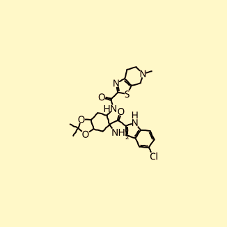 CN1CCc2nc(C(=O)NC3CC4OC(C)(C)OC4CC3(N)C(=O)c3cc4cc(Cl)ccc4[nH]3)sc2C1